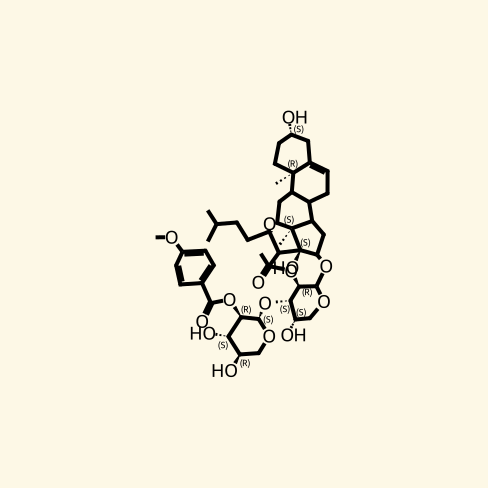 COc1ccc(C(=O)O[C@H]2[C@H](O[C@H]3[C@@H](O)COC(OC4CC5C6CC=C7C[C@@H](O)CC[C@]7(C)C6CC[C@]5(C)[C@@]4(O)C(C)C(=O)CCC(C)C)[C@@H]3OC(C)=O)OC[C@@H](O)[C@@H]2O)cc1